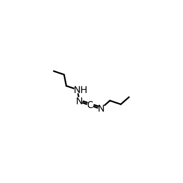 CCCN=C=NNCCC